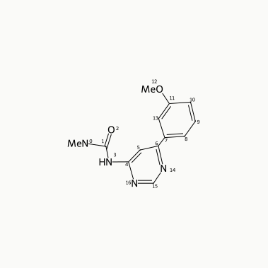 CNC(=O)Nc1cc(-c2cccc(OC)c2)ncn1